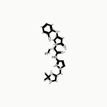 CC(C)C[C@@H](C(=O)Nc1ccn(C[C@H]2COC(C)(C)O2)n1)N1CC(Oc2ccccc2Cl)=CC1=O